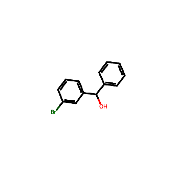 OC(c1ccccc1)c1cccc(Br)c1